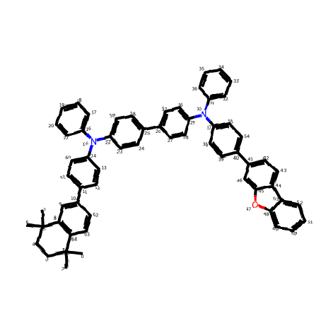 CC1(C)CCC(C)(C)c2cc(-c3ccc(N(c4ccccc4)c4ccc(-c5ccc(N(c6ccccc6)c6ccc(-c7ccc8c(c7)oc7ccccc78)cc6)cc5)cc4)cc3)ccc21